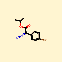 CC(C)OC(=O)C(=[N+]=[N-])c1ccc(Br)cc1